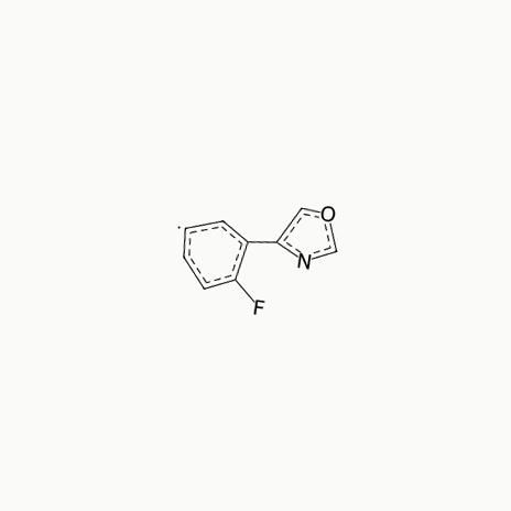 Fc1cc[c]cc1-c1cocn1